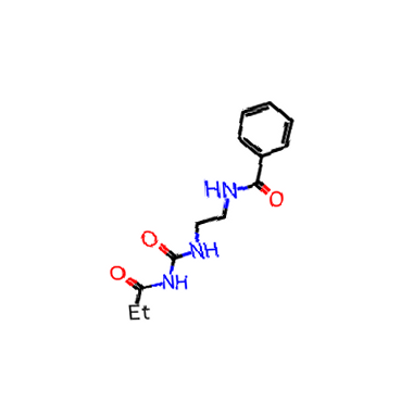 CCC(=O)NC(=O)NCCNC(=O)c1ccccc1